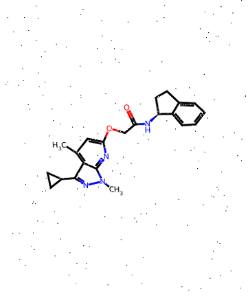 Cc1cc(OCC(=O)N[C@H]2CCc3ccccc32)nc2c1c(C1CC1)nn2C